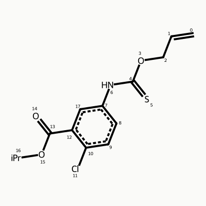 C=CCOC(=S)Nc1ccc(Cl)c(C(=O)OC(C)C)c1